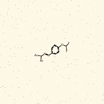 CC(=O)C(N=Nc1ccc(OC(F)F)cc1)C(C)=O